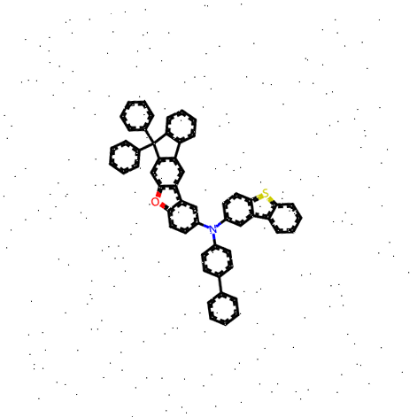 c1ccc(-c2ccc(N(c3ccc4oc5cc6c(cc5c4c3)-c3ccccc3C6(c3ccccc3)c3ccccc3)c3ccc4sc5ccccc5c4c3)cc2)cc1